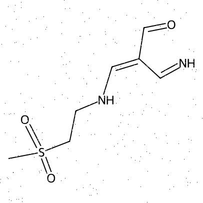 CS(=O)(=O)CCN/C=C(\C=N)C=O